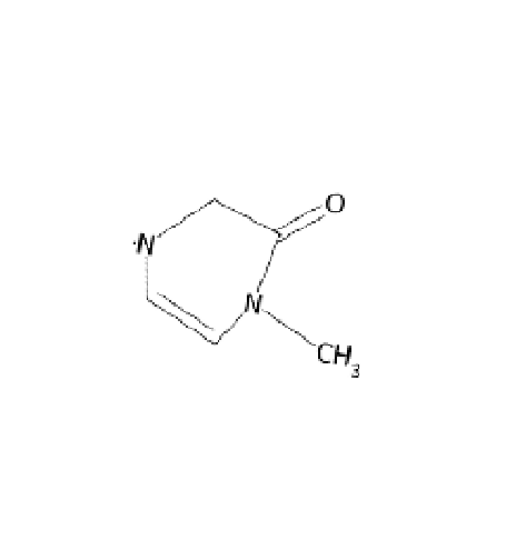 CN1C=C[N]CC1=O